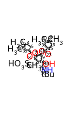 CS(=O)(=O)O.Cc1ccc(C(=O)Oc2ccc(C(O)CNC(C)(C)C)cc2OC(=O)c2ccc(C)c(C)c2)cc1C